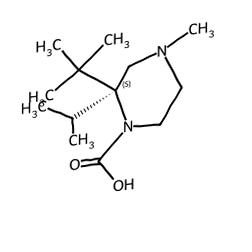 CC(C)[C@]1(C(C)(C)C)CN(C)CCN1C(=O)O